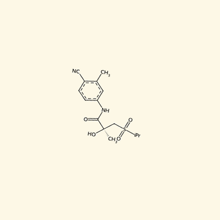 Cc1cc(NC(=O)[C@](C)(O)CS(=O)(=O)C(C)C)ccc1C#N